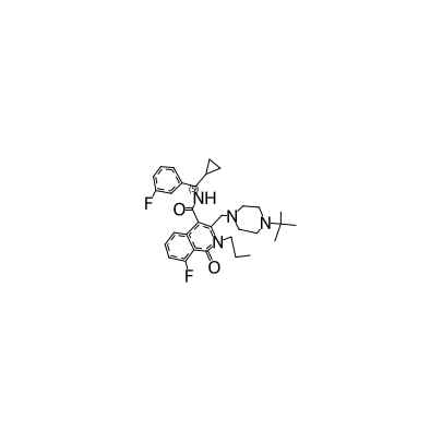 CCCn1c(CN2CCN(C(C)(C)C)CC2)c(C(=O)N[C@H](c2cccc(F)c2)C2CC2)c2cccc(F)c2c1=O